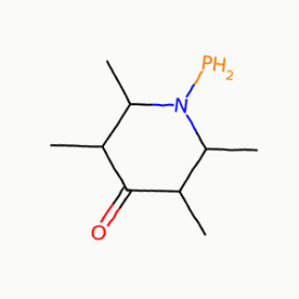 CC1C(=O)C(C)C(C)N(P)C1C